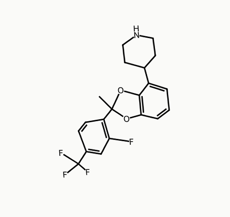 CC1(c2ccc(C(F)(F)F)cc2F)Oc2cccc(C3CCNCC3)c2O1